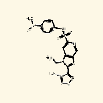 CCn1c(-c2nonc2N)nc2cnc(S(=O)(=O)Nc3ccc([S+](C)[O-])cc3)cc21